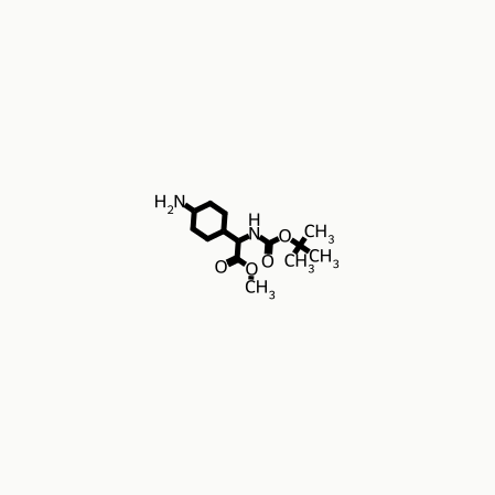 COC(=O)C(NC(=O)OC(C)(C)C)C1CCC(N)CC1